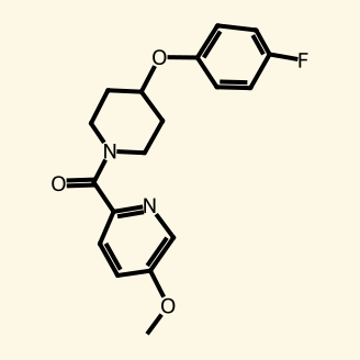 COc1ccc(C(=O)N2CCC(Oc3ccc(F)cc3)CC2)nc1